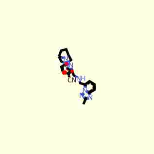 Cc1nc2cccc(CNCCC(=O)N3CC4CCC(C3)N4c3ccc(C#N)cn3)n2n1